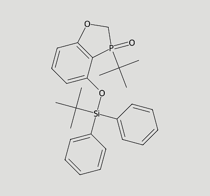 CC(C)(C)[Si](Oc1cccc2c1P(=O)(C(C)(C)C)CO2)(c1ccccc1)c1ccccc1